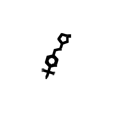 FC(F)(F)c1ccc(CSC2CCNC2)cn1